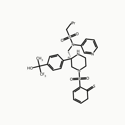 CC(C)CS(=O)(=O)N(C[C@@]1(c2ccc(C(C)(O)C(F)(F)F)cc2)CN(S(=O)(=O)C2=CC=CCC2=S)CCN1)c1cccnc1